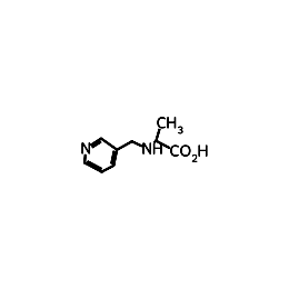 CC(NCc1cccnc1)C(=O)O